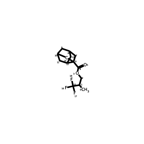 CC(COC(=O)C12CC3CC(CC1C3)C2)C(F)(F)F